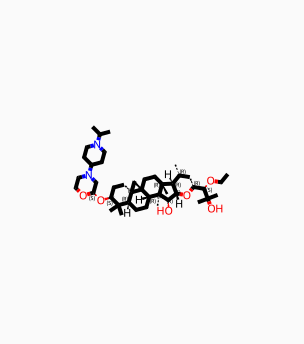 CCO[C@@H]([C@H]1C[C@@H](C)[C@H]2[C@H](O1)[C@H](O)[C@@]1(C)[C@@H]3CC[C@H]4C(C)(C)[C@@H](O[C@H]5CN(C6CCN(C(C)C)CC6)CCO5)CC[C@@]45C[C@@]35CC[C@]21C)C(C)(C)O